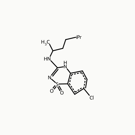 CC(C)CCC(C)NC1=NS(=O)(=O)c2cc(Cl)ccc2N1